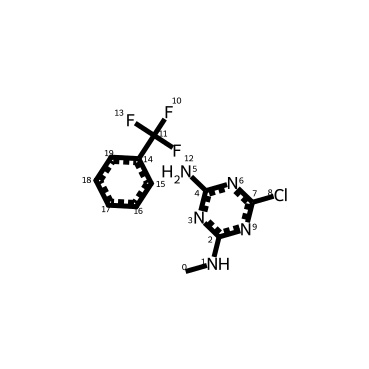 CNc1nc(N)nc(Cl)n1.FC(F)(F)c1ccccc1